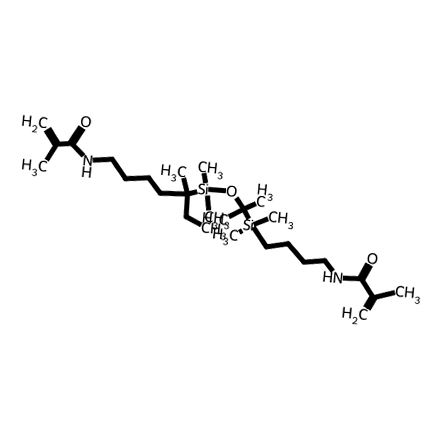 C=C(C)C(=O)NCCCCC(C)(CC)[Si](C)(C)OC(C)(C)[Si](C)(C)CCCCNC(=O)C(=C)C